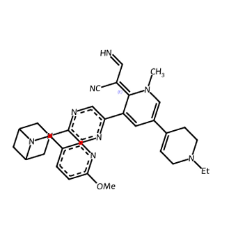 CCN1CC=C(C2=CN(C)/C(=C(/C#N)C=N)C(c3cnc(N4CC5CC(C4)N5Cc4ccc(OC)nc4)cn3)=C2)CC1